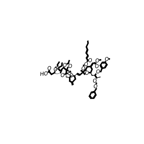 C=C1C[C@@H](C[C@]2(OC)O[C@H](C[C@H](CC(=O)O)O[Si](CC)(CC)CC)C[C@H](OC(C)=O)C2(C)C)O[C@@H](C=CC(C)(C)[C@]2(OC)O[C@H](C[C@@H](OCc3ccc(OC)cc3)[C@@H](C)OCOCc3ccccc3)CC(=CC(=O)OC)[C@@H]2OC(=O)C=CC=CCCC)C1